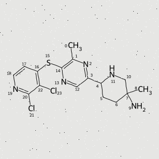 Cc1nc(C2CCC(C)(N)CN2)cnc1Sc1ccnc(Cl)c1Cl